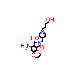 Nc1cc2c(c(C(=O)NC[C@@H]3CCN(CCCCO)C[C@H]3O)c1)OCCCO2